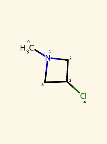 CN1CC(Cl)C1